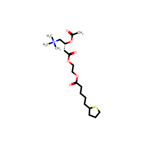 CC(=O)O[C@H](CC(=O)OCCOC(=O)CCCCC1CCCS1)C[N+](C)(C)C